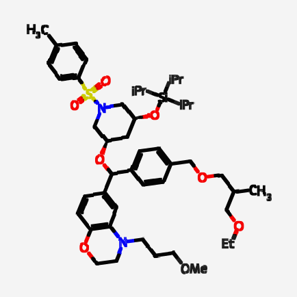 CCOCC(C)COCc1ccc(C(O[C@@H]2C[C@H](O[Si](C(C)C)(C(C)C)C(C)C)CN(S(=O)(=O)c3ccc(C)cc3)C2)c2ccc3c(c2)N(CCCOC)CCO3)cc1